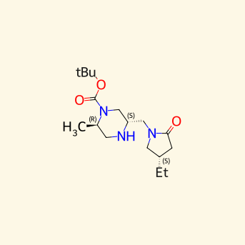 CC[C@H]1CC(=O)N(C[C@H]2CN(C(=O)OC(C)(C)C)[C@H](C)CN2)C1